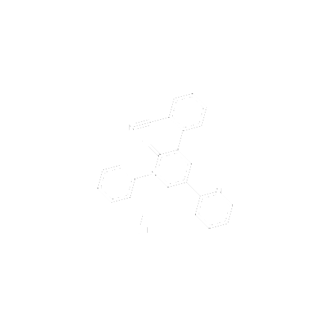 COc1ccccc1-n1cc(-c2ccccn2)cc(-c2ccccc2C#N)c1=O